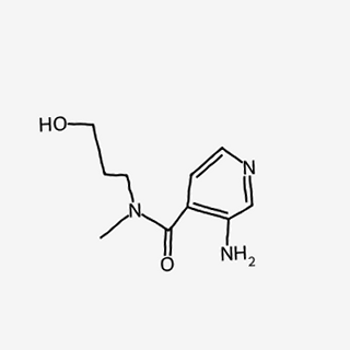 CN(CCCO)C(=O)c1ccncc1N